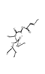 CC=CC(=O)OCC(=S)N(C)P(=O)(NC)SC(C)CC